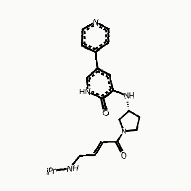 CC(C)NC/C=C/C(=O)N1CC[C@@H](Nc2cc(-c3ccncc3)c[nH]c2=O)C1